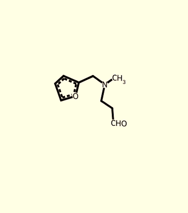 CN(CCC=O)Cc1ccco1